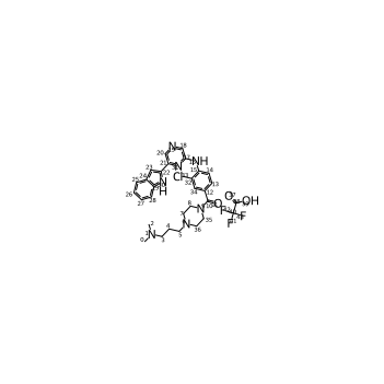 CN(C)CCCN1CCN(C(=O)c2ccc(Nc3cncc(-c4cc5ccccc5[nH]4)n3)c(Cl)c2)CC1.O=C(O)C(F)(F)F